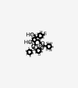 CC(C)(C)C(O[SiH](c1ccccc1)c1ccccc1)C1C(O)CC(CO)(c2ccc(F)cc2)C1CCOC(=O)c1ccccc1